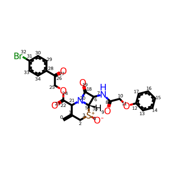 C=C1C[S+]([O-])[C@H]2C(NC(=O)COc3ccccc3)C(=O)N2C1C(=O)OCC(=O)c1ccc(Br)cc1